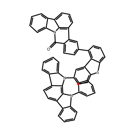 O=c1c2ccc(-c3cccc4sc5ccc(-n6c7ccccc7c7ccc8c9ccccc9n(-c9ccccc9)c8c76)cc5c34)cc2c2cccc3c4ccccc4n1c23